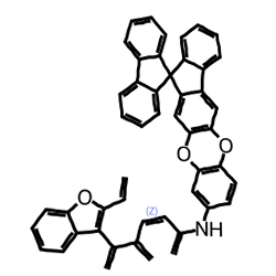 C=Cc1oc2ccccc2c1C(=C)C(=C)/C=C\C(=C)Nc1ccc2c(c1)Oc1cc3c(cc1O2)-c1ccccc1C31c2ccccc2-c2ccccc21